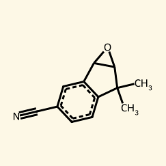 CC1(C)c2ccc(C#N)cc2C2OC21